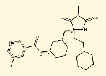 Cc1cncc(C(=O)N[C@@H]2CCC[C@H](C[C@@]3(CCC4CCCCC4)NC(=N)N(C)C3=O)C2)c1